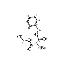 CC(C)(C)N(C(=O)OCCl)C(=O)OCc1ccccc1